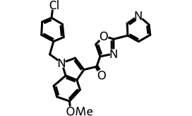 COc1ccc2c(c1)c(C(=O)c1coc(-c3cccnc3)n1)cn2Cc1ccc(Cl)cc1